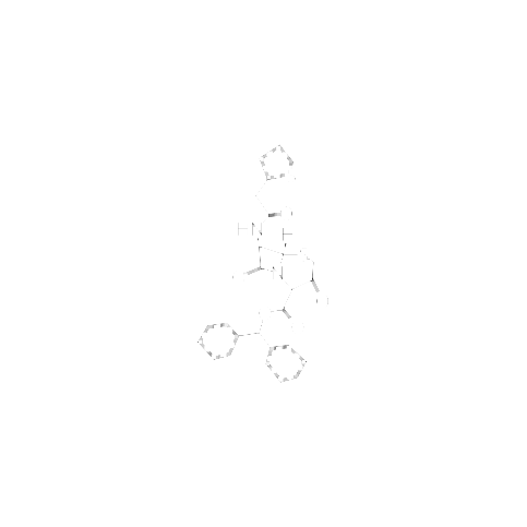 O=C(Cc1cccs1)N[C@@H]1C(=O)N2C(C(=O)OC(c3ccccc3)c3ccccc3)C(=O)CS[C@@H]12